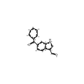 O=Cc1c[nH]c2cc(C(=O)c3ccccc3)ccc12